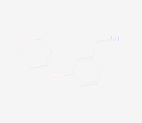 NCc1cccc(OC2CCOCC2)c1